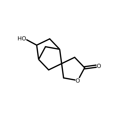 O=C1CC2(CO1)CC1CC2CC1O